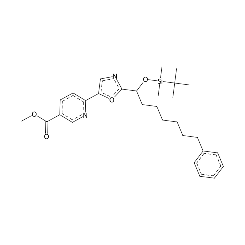 COC(=O)c1ccc(-c2cnc(C(CCCCCCc3ccccc3)O[Si](C)(C)C(C)(C)C)o2)nc1